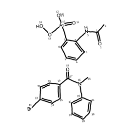 CC(=O)Nc1ccccc1[As](=O)(O)OO.CN(C(=O)c1ccc(Br)cc1)c1ccccc1